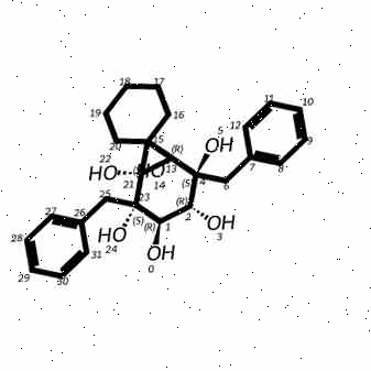 O[C@@H]1[C@@H](O)[C@@](O)(Cc2ccccc2)[C@]2(O)C3(CCCCC3)[C@]2(O)[C@]1(O)Cc1ccccc1